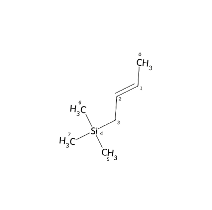 CC=CC[Si](C)(C)C